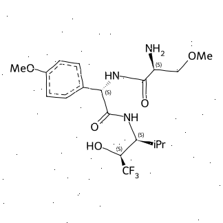 COC[C@H](N)C(=O)N[C@H](C(=O)N[C@@H](C(C)C)[C@H](O)C(F)(F)F)c1ccc(OC)cc1